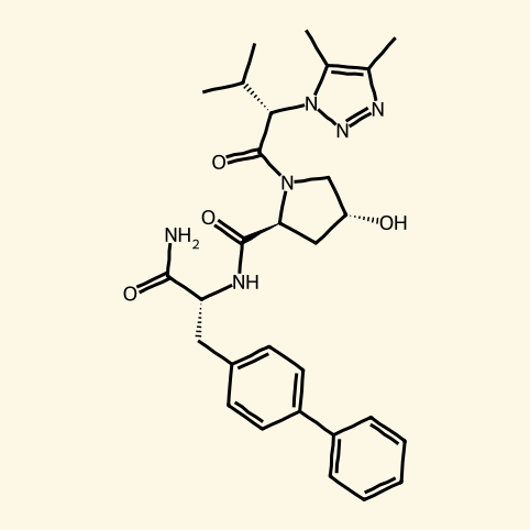 Cc1nnn([C@H](C(=O)N2C[C@H](O)C[C@H]2C(=O)N[C@H](Cc2ccc(-c3ccccc3)cc2)C(N)=O)C(C)C)c1C